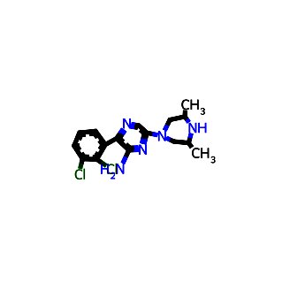 CC1CN(c2cnc(-c3cccc(Cl)c3Cl)c(N)n2)CC(C)N1